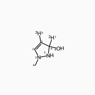 [2H]C1=CN(C)NC1([2H])O